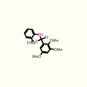 CCC(C)(Pc1ccccc1C=O)c1cc(OC)cc(OC)c1OC